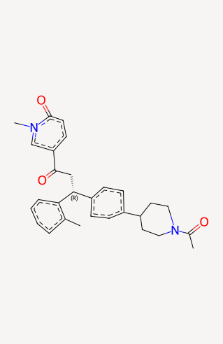 CC(=O)N1CCC(c2ccc([C@@H](CC(=O)c3ccc(=O)n(C)c3)c3ccccc3C)cc2)CC1